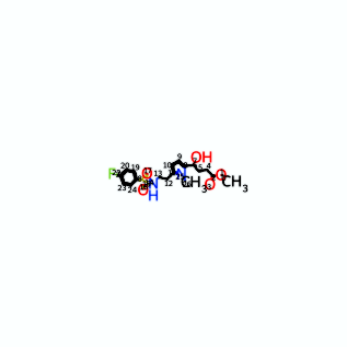 COC(=O)CCC(O)c1ccc(CCNS(=O)(=O)c2ccc(F)cc2)n1C